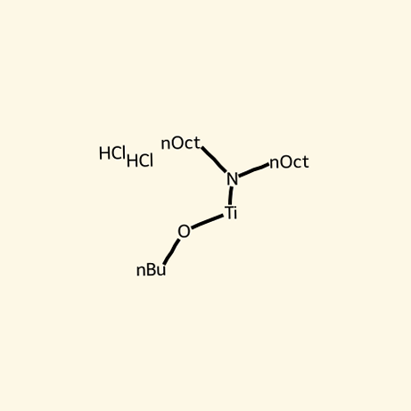 CCCCCCCC[N](CCCCCCCC)[Ti][O]CCCC.Cl.Cl